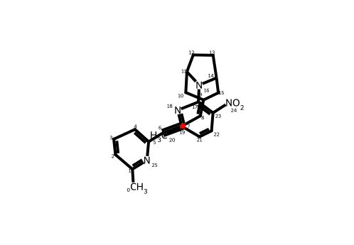 Cc1cccc(C#CC=C2CC3CCC(C2)N3c2nc(C)ccc2[N+](=O)[O-])n1